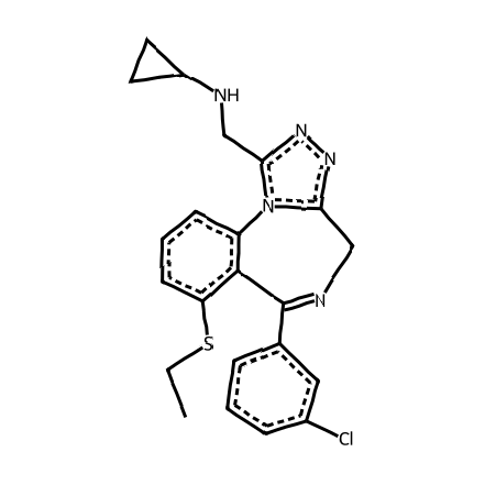 CCSc1cccc2c1C(c1cccc(Cl)c1)=NCc1nnc(CNC3CC3)n1-2